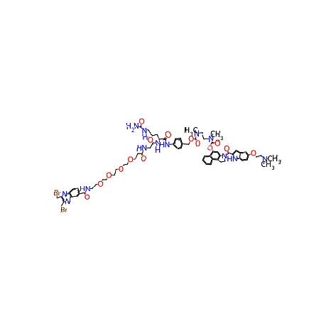 CN(C)CCOc1ccc2[nH]c(C(=O)N3CCc4c3cc(OC(=O)N(C)CCN(C)C(=O)OCc3ccc(NC(=O)[C@H](CCCNC(N)=O)NC(=O)CNC(=O)CCOCCOCCOCCOCCNC(=O)c5ccc6nc(CBr)c(CBr)nc6c5)cc3)c3ccccc43)cc2c1